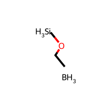 B.CCO[SiH3]